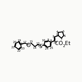 CCOC(=O)C(=CC1CCCC1)c1ccc(SCCCOCc2ccccc2)cc1